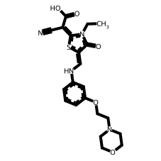 CCn1c(=C(C#N)C(=O)O)sc(=CNc2cccc(OCCN3CCOCC3)c2)c1=O